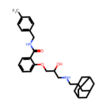 O=C(NCc1ccc(C(F)(F)F)cc1)c1ccccc1OCC(O)CNCC12CC3CC(CC(C3)C1)C2